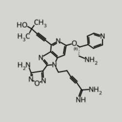 CC(C)(O)C#Cc1nc(O[C@@H](CN)c2ccncc2)cc2c1nc(-c1nonc1N)n2CCC#CC(=N)N